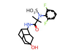 CC(C)(C(=O)NC1C2CC3CC1CC(O)(C3)C2)N(c1c(F)cccc1F)S(=O)(=O)O